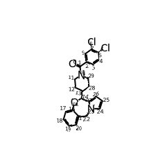 O=C(c1ccc(Cl)c(Cl)c1)N1CCC(C2Oc3ccccc3Cn3cccc32)CC1